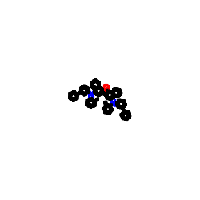 Cc1ccccc1N(c1cccc(-c2ccccc2)c1)c1cc2c3cc(N(c4cccc(-c5ccccc5)c4)c4ccccc4C)c4ccccc4c3oc2c2ccccc12